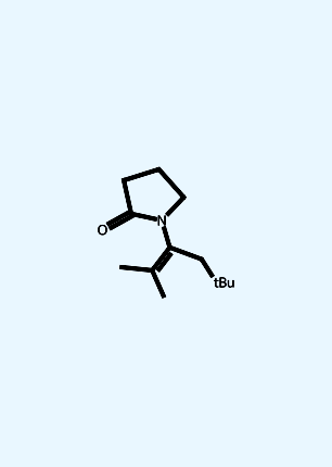 CC(C)=C(CC(C)(C)C)N1CCCC1=O